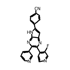 N#Cc1ccc(-c2cc3nc(-c4ccncc4F)c(-c4cccnc4)nc3[nH]2)cc1